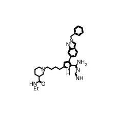 CCNC(=O)C1CCCN(CCCCc2cc(-c3ccc4cn(Cc5ccccc5)nc4c3)c(/C(N)=N\C=N)[nH]2)C1